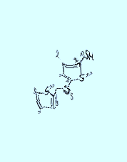 Sc1ccc(Sc2cccs2)s1